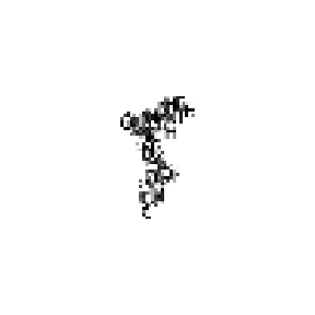 CC1(c2ccc(Cl)cn2)Oc2cccc(C3CCN(Cc4nc5cc(-c6nnc(C(F)(F)F)[nH]6)nnc5n4CC4CCO4)CC3)c2O1